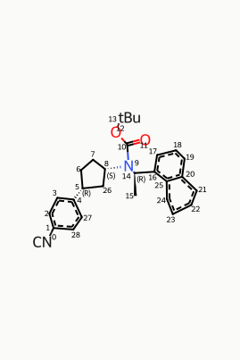 [C-]#[N+]c1ccc([C@@H]2CC[C@H](N(C(=O)OC(C)(C)C)[C@H](C)c3cccc4ccccc34)C2)cc1